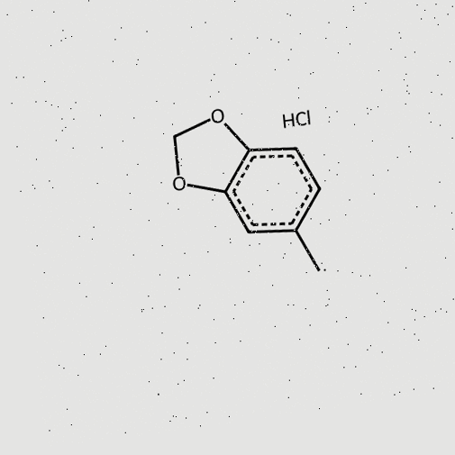 Cl.[CH2]c1ccc2c(c1)OCO2